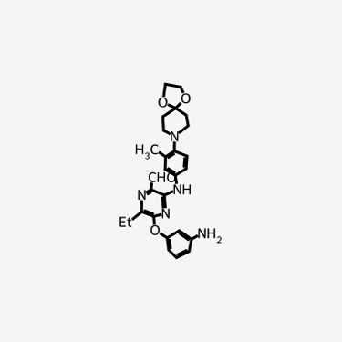 CCc1nc(C=O)c(Nc2ccc(N3CCC4(CC3)OCCO4)c(C)c2)nc1Oc1cccc(N)c1